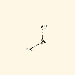 CN(C)Cc1cc(OCCCCCCCCCCCCCCCCCC(=O)O)cc(OCCCCCCCCCCCCCCCCCC(=O)O)c1